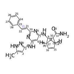 Cc1cc(Nc2cc(NC3C(C(N)=O)[C@@H]4C=C[C@H]3C4)nc(/C=C/c3ccccc3)n2)n[nH]1